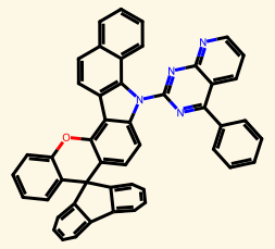 c1ccc(-c2nc(-n3c4ccc5c(c4c4ccc6ccccc6c43)Oc3ccccc3C53c4ccccc4-c4ccccc43)nc3ncccc23)cc1